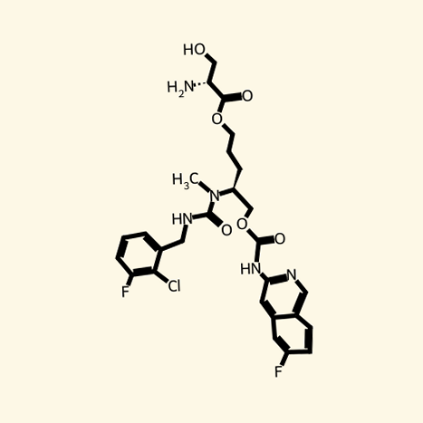 CN(C(=O)NCc1cccc(F)c1Cl)[C@@H](CCCOC(=O)[C@H](N)CO)COC(=O)Nc1cc2cc(F)ccc2cn1